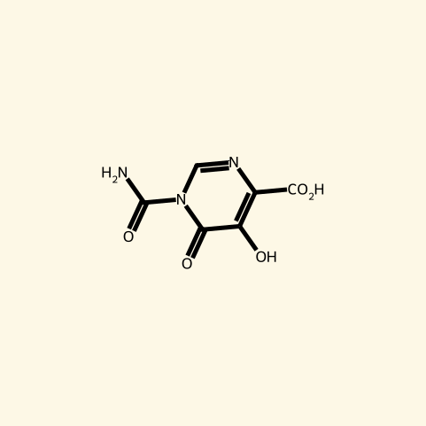 NC(=O)n1cnc(C(=O)O)c(O)c1=O